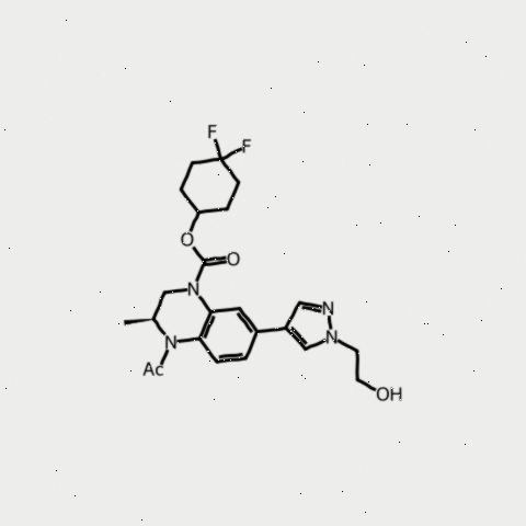 CC(=O)N1c2ccc(-c3cnn(CCO)c3)cc2N(C(=O)OC2CCC(F)(F)CC2)C[C@@H]1C